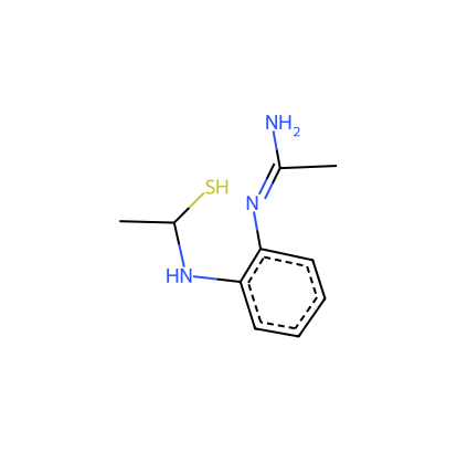 C/C(N)=N\c1ccccc1NC(C)S